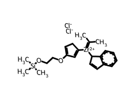 C[C](C)=[Zr+2]([C]1=CC(OCCO[Si](C)(C)C)=CC1)[CH]1C=Cc2ccccc21.[Cl-].[Cl-]